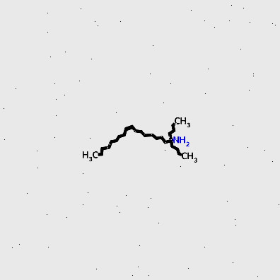 CCCCCCCC/C=C\CCCCCCCC(N)(CCCC)CCCC